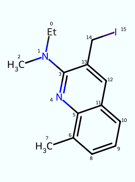 CCN(C)c1nc2c(C)cccc2cc1CI